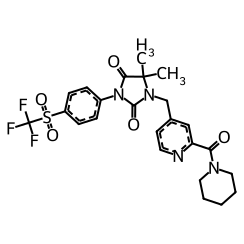 CC1(C)C(=O)N(c2ccc(S(=O)(=O)C(F)(F)F)cc2)C(=O)N1Cc1ccnc(C(=O)N2CCCCC2)c1